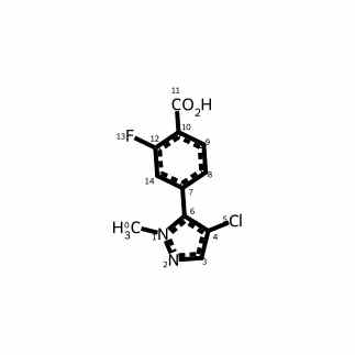 Cn1ncc(Cl)c1-c1ccc(C(=O)O)c(F)c1